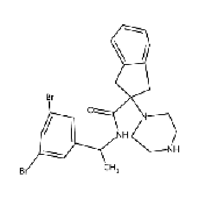 CC(NC(=O)C1(N2CCNCC2)Cc2ccccc2C1)c1cc(Br)cc(Br)c1